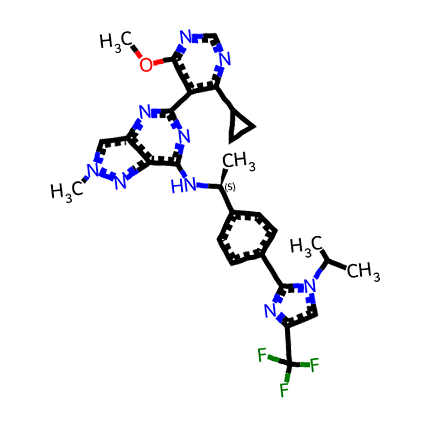 COc1ncnc(C2CC2)c1-c1nc(N[C@@H](C)c2ccc(-c3nc(C(F)(F)F)cn3C(C)C)cc2)c2nn(C)cc2n1